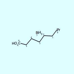 CC(C)CCCCCC(=O)O.[BiH3]